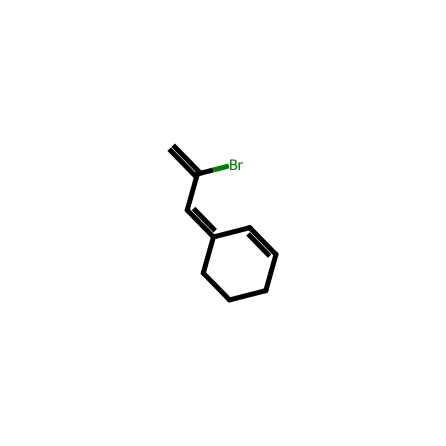 C=C(Br)C=C1C=CCCC1